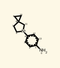 Nc1ccc(N2CCC3(CC3)C2)cc1